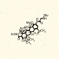 COc1c(NC(=O)CNC(C)(C)C)cc(N(C)C)c2c1C(O)(O)C1=C(OC(C)=O)[C@@]3(OC(C)=O)[C@@H](C[C@@H]1C2)[C@H](N(C)C)C(OC(C)=O)=C(C(=O)NC(C)=O)C3(O)O